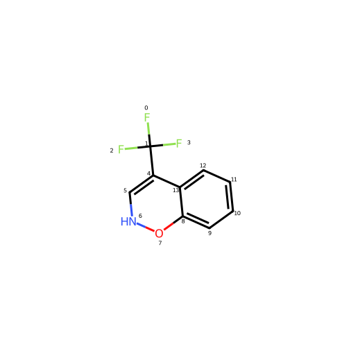 FC(F)(F)C1=CNOc2ccccc21